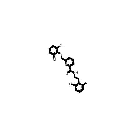 Cc1cccc(Cl)c1CCNC(=O)c1cccc(CSc2c(Cl)cccc2Cl)n1